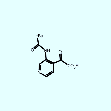 CCOC(=O)C(=O)c1ccncc1NC(=O)C(C)(C)C